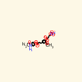 COc1cc(/C=C/C(=O)Oc2ccc(NC(C)=O)cc2)ccc1OC(=O)CCCO[N+](=O)[O-]